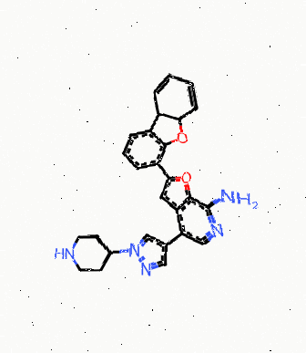 Nc1ncc(-c2cnn(C3CCNCC3)c2)c2cc(-c3cccc4c3OC3C=CC=CC43)oc12